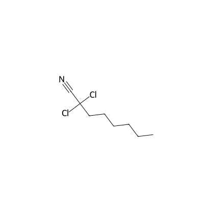 CCCCCCC(Cl)(Cl)C#N